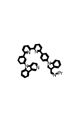 CC(C)/N=C\C1CN(c2ccc(-c3cccc(-c4cccc(C5=CCCC(n6c7ccccc7c7cnccc76)=C5)n4)n3)cc2)c2ccccc21